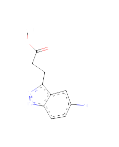 COC(=O)CCc1n[nH]c2ccc(N)cc12